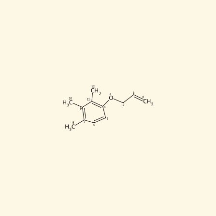 C=CCOc1ccc(C)c(C)c1C